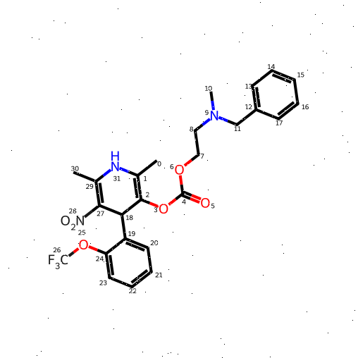 CC1=C(OC(=O)OCCN(C)Cc2ccccc2)C(c2ccccc2OC(F)(F)F)C([N+](=O)[O-])=C(C)N1